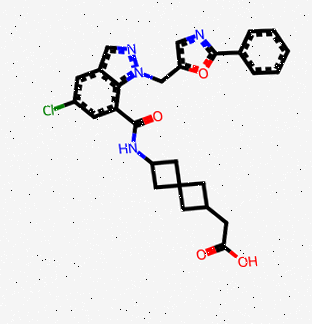 O=C(O)CC1CC2(C1)CC(NC(=O)c1cc(Cl)cc3cnn(Cc4cnc(-c5ccccc5)o4)c13)C2